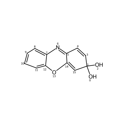 OC1(O)C=CC2=Nc3ccccc3OC2=C1